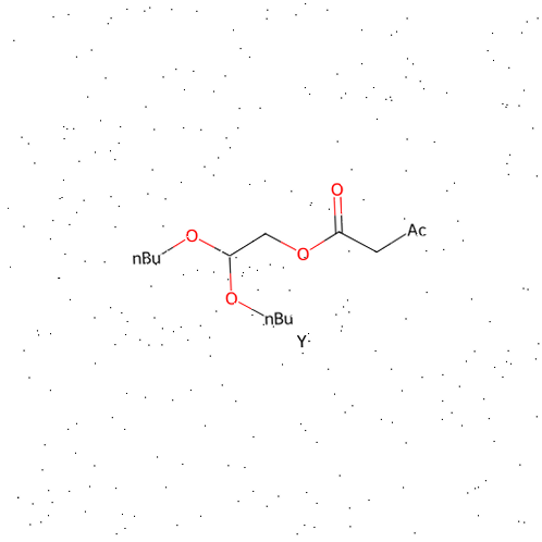 CCCCOC(COC(=O)CC(C)=O)OCCCC.[Y]